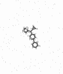 c1ccc(-c2ccc(C(c3cnco3)C3CC3)cn2)cc1